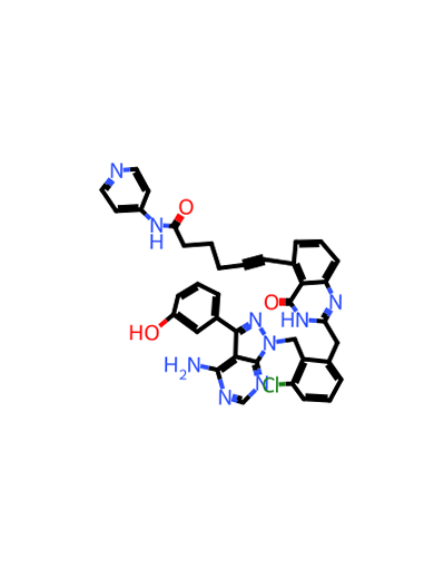 Nc1ncnc2c1c(-c1cccc(O)c1)nn2Cc1c(Cl)cccc1Cc1nc2cccc(C#CCCCC(=O)Nc3ccncc3)c2c(=O)[nH]1